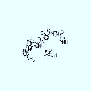 Cn1c(-c2cn(-c3nccc(N)n3)nc2C(F)(F)F)cnc1C(=O)Nc1ccc(C(=O)N2CCN(C(=O)C3CCNCC3)CC2)c(Cl)c1.O=C(O)C(F)(F)F